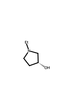 [CH2]CN1CC[C@@H](O)C1